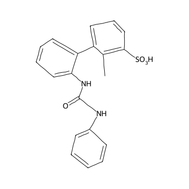 Cc1c(-c2ccccc2NC(=O)Nc2ccccc2)cccc1S(=O)(=O)O